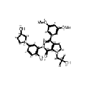 COc1cc(OC)cc(-c2nn(-c3cc(N4CCC(O)C4)ccc3C(F)(F)F)c(=O)c3c2CCN3CC(C)(C)O)c1